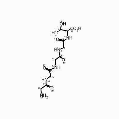 C[C@@H](O)[C@H](NC(=O)CNC(=O)CNC(=O)CNC(=O)CN)C(=O)O